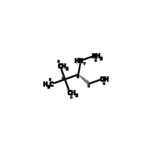 CC(C)(C)[C@@H](CO)NN